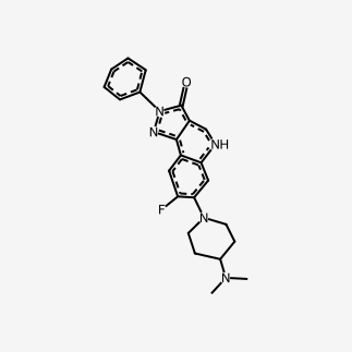 CN(C)C1CCN(c2cc3[nH]cc4c(=O)n(-c5ccccc5)nc-4c3cc2F)CC1